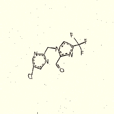 O=Cc1nc(C(F)(F)F)cn1Cc1ncc(Cl)cn1